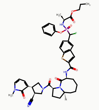 CCCOC(=O)[C@H](C)NP(=O)(Oc1ccccc1)C(F)c1ccc2sc(C(=O)N[C@H]3CCCC[C@H]4CC[C@@H](C(=O)N5C[C@@H](C#N)[C@H](c6cccn(C)c6=O)C5)N4C3=O)cc2c1